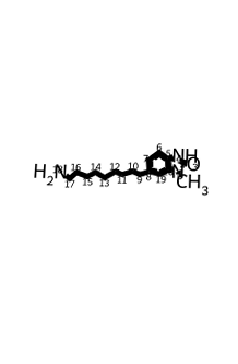 Cn1c(=O)[nH]c2ccc(CCCCCCCCCN)cc21